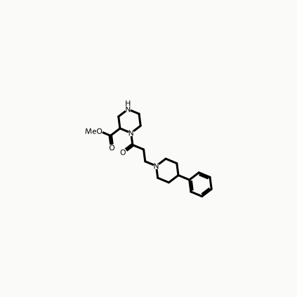 COC(=O)C1CNCCN1C(=O)CCN1CCC(c2ccccc2)CC1